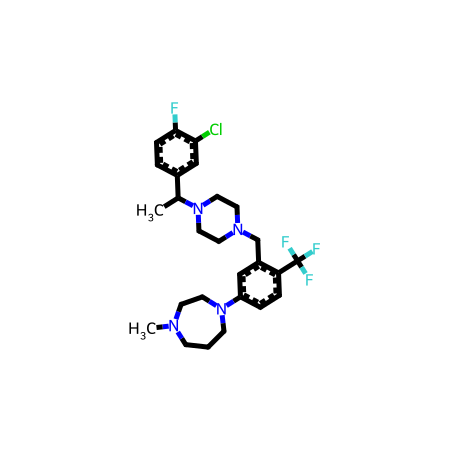 CC(c1ccc(F)c(Cl)c1)N1CCN(Cc2cc(N3CCCN(C)CC3)ccc2C(F)(F)F)CC1